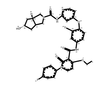 CCOc1ccn(-c2ccc(F)cc2)c(=O)c1C(=O)Nc1ccc(Oc2ccnc(NC(=O)N3CC4C[C@H](O)C[C@@H]4C3)c2)c(F)c1